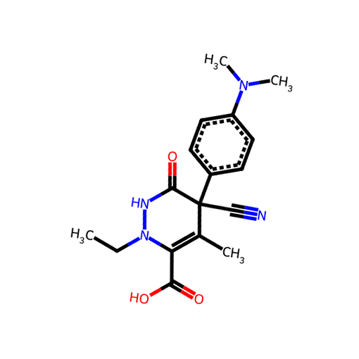 CCN1NC(=O)C(C#N)(c2ccc(N(C)C)cc2)C(C)=C1C(=O)O